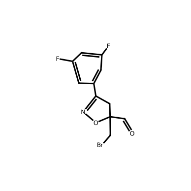 O=CC1(CBr)CC(c2cc(F)cc(F)c2)=NO1